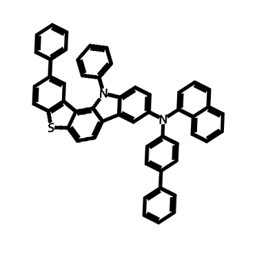 c1ccc(-c2ccc(N(c3ccc4c(c3)c3ccc5sc6ccc(-c7ccccc7)cc6c5c3n4-c3ccccc3)c3cccc4ccccc34)cc2)cc1